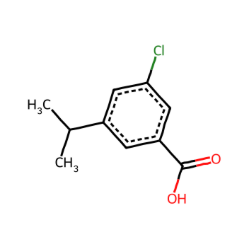 CC(C)c1cc(Cl)cc(C(=O)O)c1